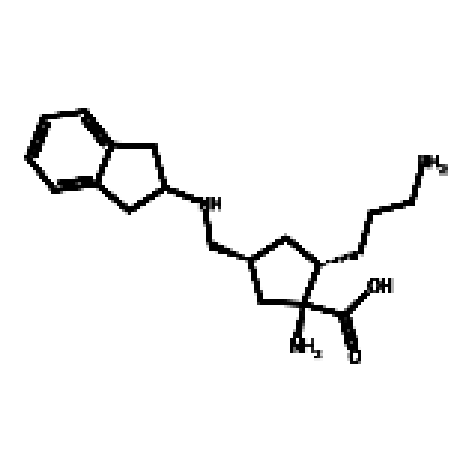 BCCC[C@H]1C[C@H](CNC2Cc3ccccc3C2)C[C@@]1(N)C(=O)O